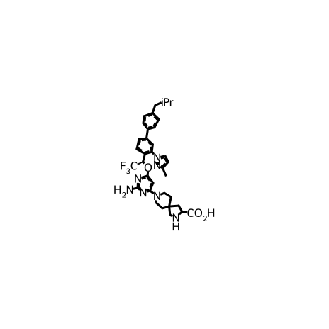 Cc1ccn(-c2cc(-c3ccc(CC(C)C)cc3)ccc2[C@@H](Oc2cc(N3CCC4(CC3)CNC(C(=O)O)C4)nc(N)n2)C(F)(F)F)n1